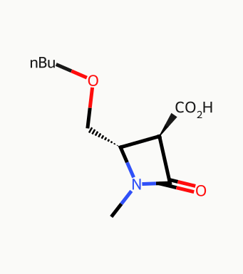 CCCCOC[C@@H]1[C@@H](C(=O)O)C(=O)N1C